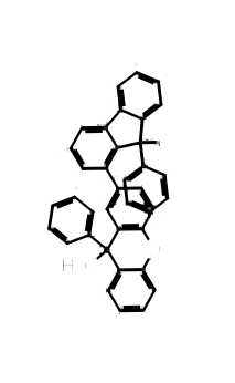 CC1(c2ccccc2)c2ccccc2Oc2ccc(-c3cccc4c3C(C)(c3ccccc3)c3ccccc3-4)cc21